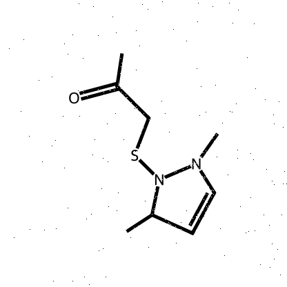 CC(=O)CSN1C(C)C=CN1C